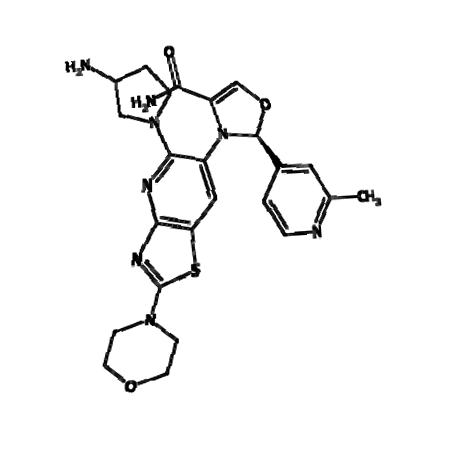 Cc1cc([C@@H]2OC=C(C(N)=O)N2c2cc3sc(N4CCOCC4)nc3nc2N2CCC(N)C2)ccn1